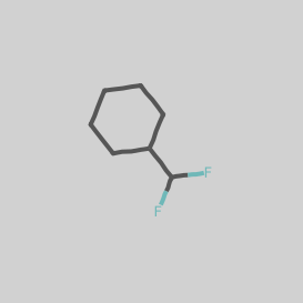 F[C](F)C1CCCCC1